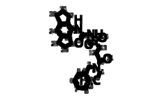 CCN(Cc1ccccc1)C(=O)CCS(=O)(=O)NC(=O)Nc1c2c(cc3c1CCC3)CCC2